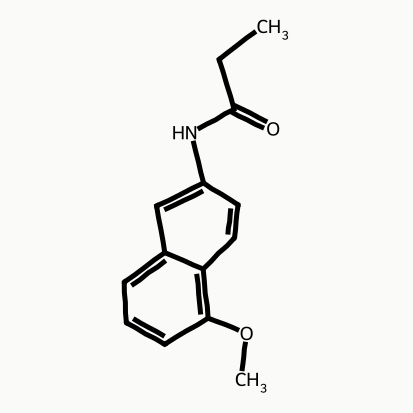 CCC(=O)Nc1ccc2c(OC)cccc2c1